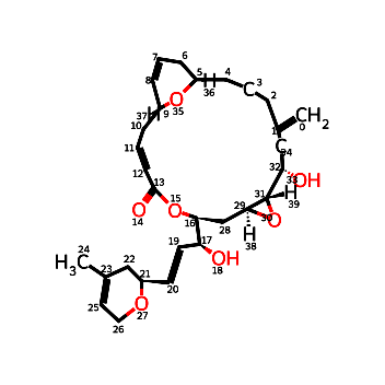 C=C1CCC[C@@H]2CC=C[C@@H](C/C=C\C(=O)O[C@H]([C@@H](O)/C=C/[C@@H]3CC(C)=CCO3)C[C@@H]3O[C@H]3[C@@H](O)C1)O2